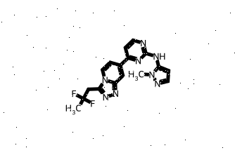 Cn1nccc1Nc1nccc(-c2ccn3c(CC(C)(F)F)nnc3c2)n1